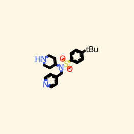 CC(C)(C)c1ccc(S(=O)(=O)N(Cc2ccncc2)C2CCNCC2)cc1